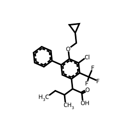 CCC(C)C(C(=O)O)c1cc(-c2ccccc2)c(OCC2CC2)c(Cl)c1C(F)(F)F